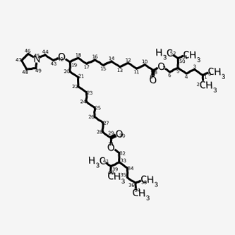 CC(C)CCC(COC(=O)CCCCCCCCCC(CCCCCCCCCC(=O)OCC(CCC(C)C)C(C)C)OCCN1CCCC1)C(C)C